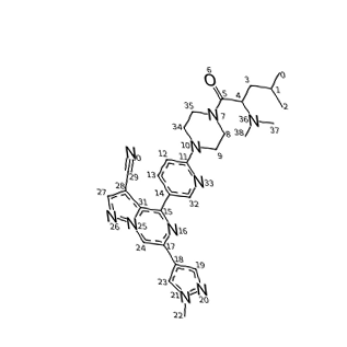 CC(C)CC(C(=O)N1CCN(c2ccc(-c3nc(-c4cnn(C)c4)cn4ncc(C#N)c34)cn2)CC1)N(C)C